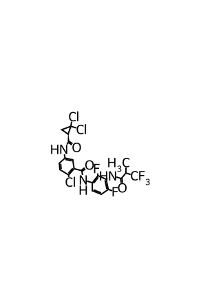 CC(C(=O)Nc1c(F)ccc(NC(=O)c2cc(NC(=O)[C@H]3CC3(Cl)Cl)ccc2Cl)c1F)C(F)(F)F